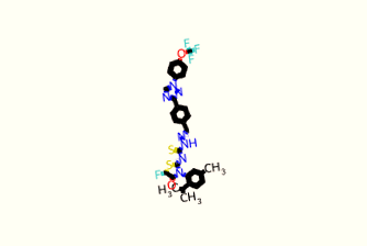 Cc1ccc(C(C)C)c(N2C(=O)C(F)S/C2=N\C(=S)N/N=C/c2ccc(-c3ncn(-c4ccc(OC(F)(F)F)cc4)n3)cc2)c1